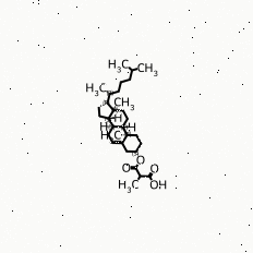 CC(C)CCC[C@@H](C)[C@H]1CC[C@H]2[C@@H]3CC=C4C[C@@H](OC(=O)C(C)C(=O)O)CC[C@]4(C)[C@H]3CC[C@]12C